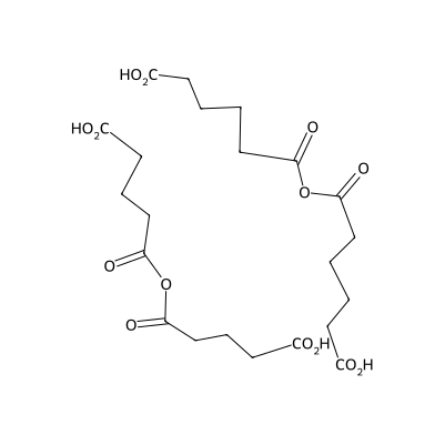 O=C(O)CCCC(=O)OC(=O)CCCC(=O)O.O=C(O)CCCCC(=O)OC(=O)CCCCC(=O)O